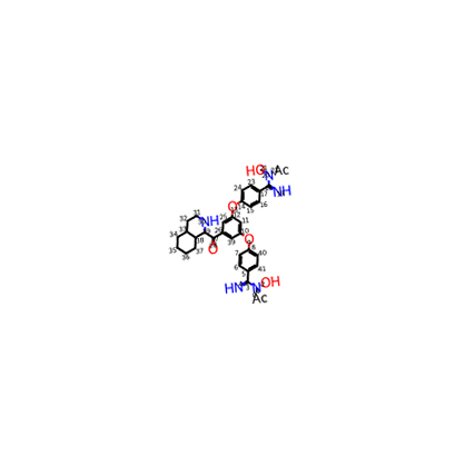 CC(=O)N(O)C(=N)c1ccc(Oc2cc(Oc3ccc(C(=N)N(O)C(C)=O)cc3)cc(C(=O)C3NCCC4CCCCC43)c2)cc1